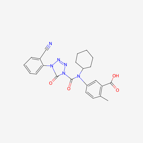 Cc1ccc(N(C(=O)n2nnn(-c3ccccc3C#N)c2=O)C2CCCCC2)cc1C(=O)O